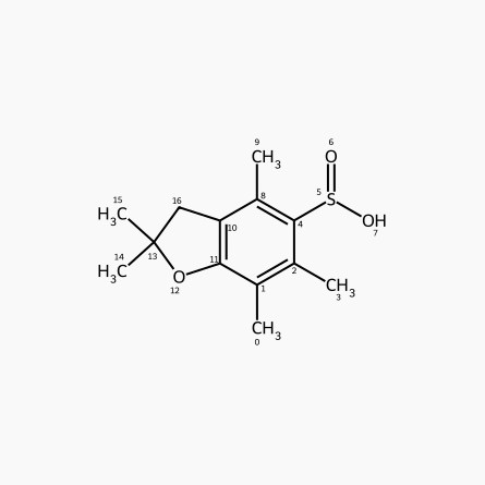 Cc1c(C)c(S(=O)O)c(C)c2c1OC(C)(C)C2